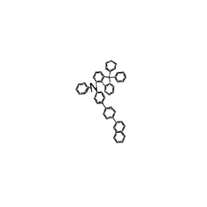 c1ccc(N(c2ccc(-c3ccc(-c4ccc5ccccc5c4)cc3)cc2)c2cccc3c2-c2ccccc2C3(c2ccccc2)c2ccccc2)cc1